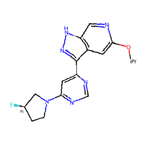 CC(C)Oc1cc2c(-c3cc(N4CC[C@@H](F)C4)ncn3)n[nH]c2cn1